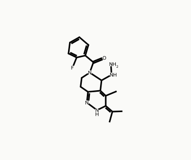 CC(C)=C1NN=C2CCN(C(=O)c3ccccc3F)C(NN)C2=C1C